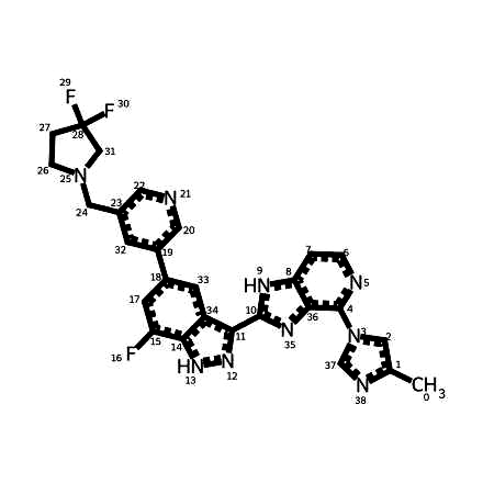 Cc1cn(-c2nccc3[nH]c(-c4n[nH]c5c(F)cc(-c6cncc(CN7CCC(F)(F)C7)c6)cc45)nc23)cn1